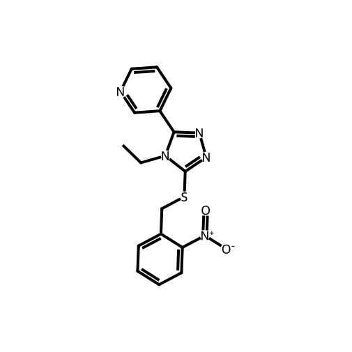 CCn1c(SCc2ccccc2[N+](=O)[O-])nnc1-c1cccnc1